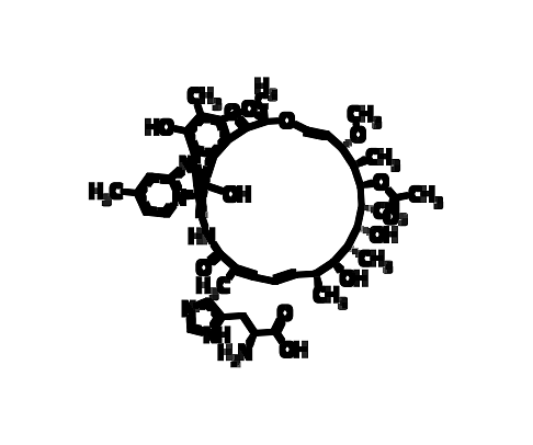 CO[C@H]1/C=C/O[C@@]2(C)Oc3c(C)c(O)c4c(O)c(c5c(nc6cc(C)ccn65)c4c3C2=O)NC(=O)/C(C)=C\C=C\[C@H](C)[C@H](O)[C@@H](C)[C@@H](O)[C@@H](C)[C@H](OC(C)=O)[C@@H]1C.N[C@@H](Cc1cnc[nH]1)C(=O)O